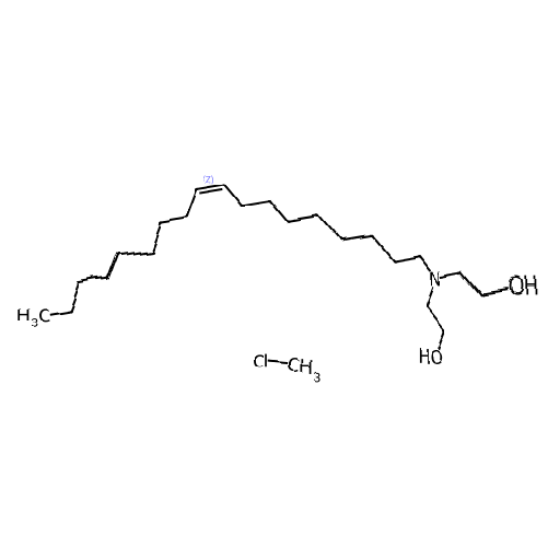 CCCCCCCC/C=C\CCCCCCCCN(CCO)CCO.CCl